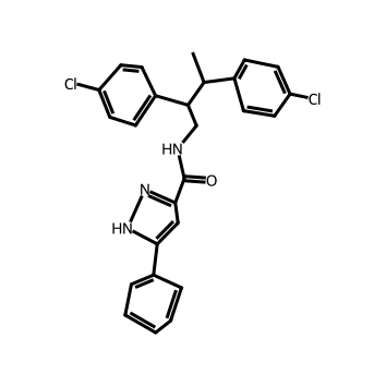 CC(c1ccc(Cl)cc1)C(CNC(=O)c1cc(-c2ccccc2)[nH]n1)c1ccc(Cl)cc1